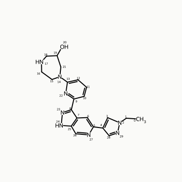 CCn1cc(-c2cc3c(-c4cccc(N5CCNCC(O)C5)n4)n[nH]c3cn2)cn1